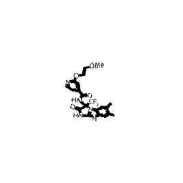 COCCOc1cc(C(=O)NC2(C(F)(F)F)C(=O)Nc3nc4cc(C)c(C)cc4n32)ccn1